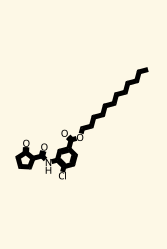 CCCCCCCCCCCCOC(=O)c1ccc(Cl)c(NC(=O)C2CCCC2=O)c1